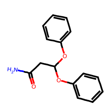 NC(=O)CC(Oc1ccccc1)Oc1ccccc1